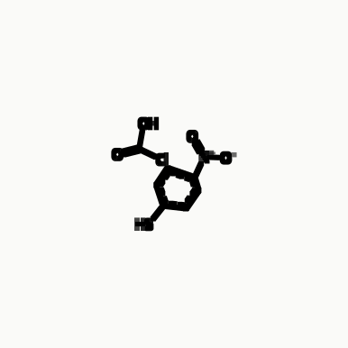 O=C(O)Cl.O=[N+]([O-])c1ccc(S)cc1